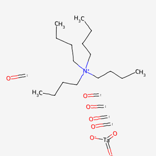 CCCC[N+](CCCC)(CCCC)CCCC.[C]=O.[C]=O.[C]=O.[C]=O.[C]=O.[O]=[Ta](=[O])[O-]